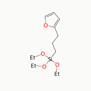 CCO[Si](CCCc1ccco1)(OCC)OCC